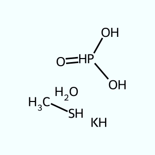 CS.O.O=[PH](O)O.[KH]